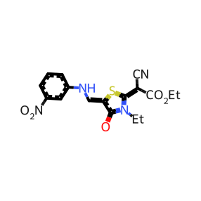 CCOC(=O)C(C#N)=c1sc(=CNc2cccc([N+](=O)[O-])c2)c(=O)n1CC